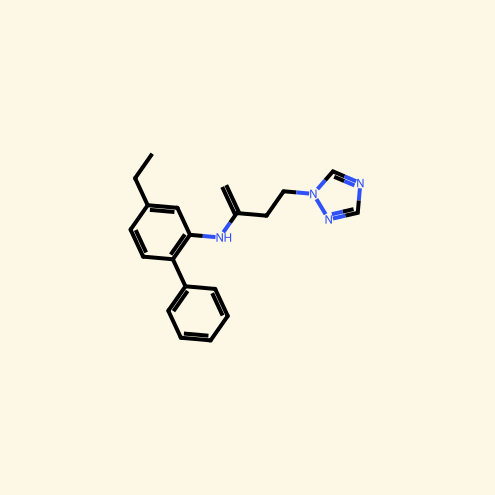 C=C(CCn1cncn1)Nc1cc(CC)ccc1-c1ccccc1